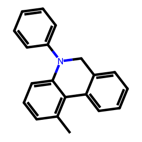 Cc1cccc2c1-c1ccccc1CN2c1ccccc1